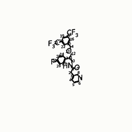 O=C(Cc1cccnc1)NCC(COCc1cc(C(F)(F)F)cc(C(F)(F)F)c1)c1ccc(F)cc1